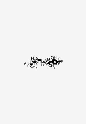 Cc1nc(NC[C@@H](C)NC(=O)OC(C)(C)C)nnc1-c1ccc(C(F)(F)F)cc1O